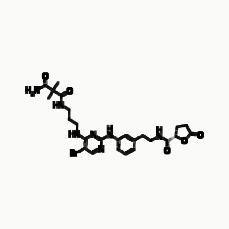 CC(C)(C(N)=O)C(=O)NCCCNc1nc(Nc2cccc(CCNC(=O)[C@@H]3CCC(=O)O3)c2)ncc1Br